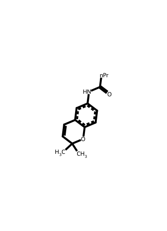 CCCC(=O)Nc1ccc2c(c1)C=CC(C)(C)O2